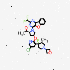 CC(=O)[C@@H]1C[C@H](Oc2ncc(Cl)cc2[C@@]2(F)CCN(C3COC3)C[C@@H]2C)CN1c1nc(C(F)F)nc2c1oc1ccccc12